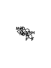 CNC1(NC(=O)C2NC(NC3CC(F)CC(C)(F)C3)CCC2OC)CCC1